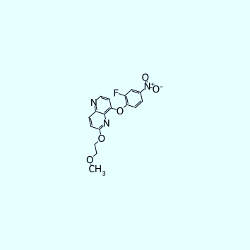 COCCOc1ccc2nccc(Oc3ccc([N+](=O)[O-])cc3F)c2n1